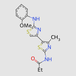 CCC(=O)Nc1nc(C)c(-c2csc(Nc3ccccc3OC)n2)s1